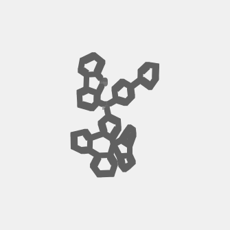 c1ccc(-c2ccc(N(c3ccc4c(c3)-c3ccccc3-c3ccccc3C43c4ccccc4-c4ccccc43)c3cccc4c3oc3ccccc34)cc2)cc1